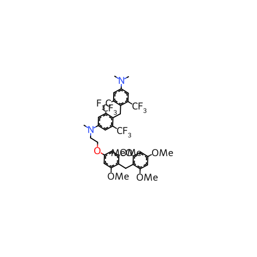 COc1cc(OC)c(Cc2c(OC)cc(OCCN(C)c3cc(C(F)(F)F)c(Cc4c(C(F)(F)F)cc(N(C)C)cc4C(F)(F)F)c(C(F)(F)F)c3)cc2OC)c(OC)c1